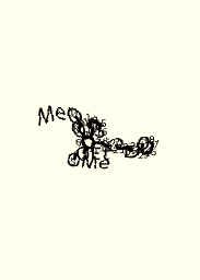 CCc1c(OCOC)cc(OCOC)c(-c2cccs2)c1CCOCCOC1CCCCO1